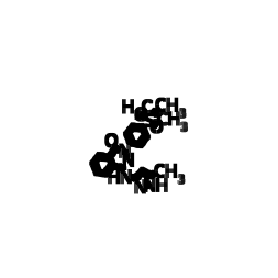 Cc1cc(Nc2nn(-c3ccc(S(=O)(=O)C(C)(C)C)cc3)c(=O)c3ccccc23)n[nH]1